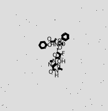 Cc1nc2c(ncn2[C@@H]2O[C@H](COP(=O)(NC(C)C(=O)OC3CCCCC3)Oc3ccccc3)[C@@H](F)[C@@]2(C)O)c(=O)[nH]1